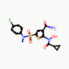 CN(c1ccc(F)cc1)S(=O)(=O)c1cc(C(N)=O)c(N(O)C(=O)C2CC2)s1